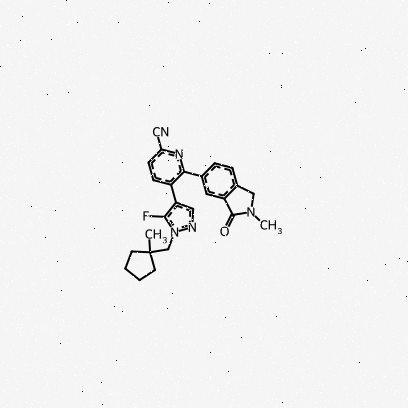 CN1Cc2ccc(-c3nc(C#N)ccc3-c3cnn(CC4(C)CCCC4)c3F)cc2C1=O